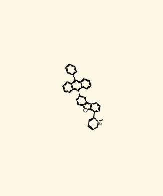 C[C@H]1CC=CC=C1c1cccc2c1oc1ccc(-c3c4ccccc4c(-c4ccccc4)c4ccccc34)cc12